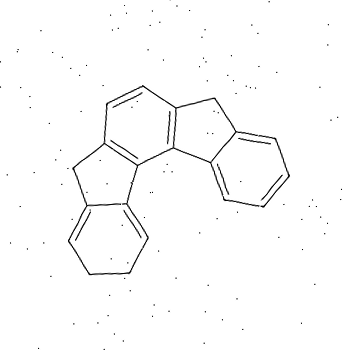 C1=C2Cc3ccc4c(c3C2=CCC1)-c1ccccc1C4